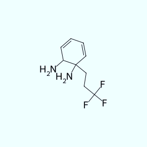 NC1C=CC=CC1(N)CCC(F)(F)F